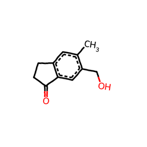 Cc1cc2c(cc1CO)C(=O)CC2